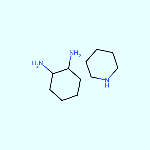 C1CCNCC1.NC1CCCCC1N